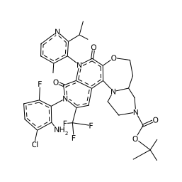 Cc1ccnc(C(C)C)c1-n1c(=O)c2c(c3cc(C(F)(F)F)n(-c4c(F)ccc(Cl)c4N)c(=O)c31)N1CCN(C(=O)OC(C)(C)C)CC1CCO2